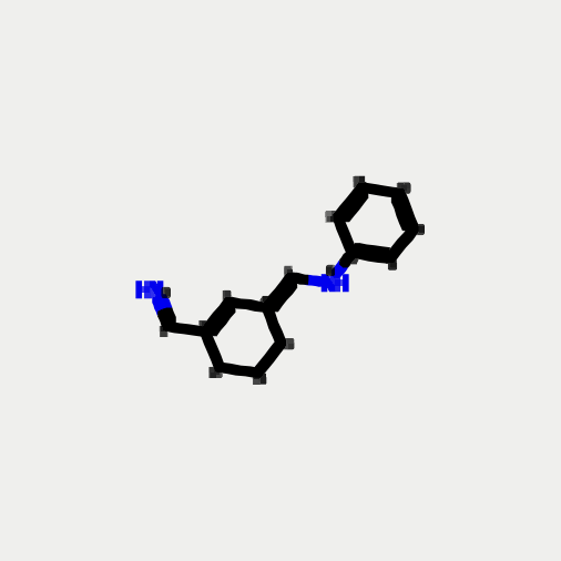 N=CC1=C/C(=C/Nc2ccccc2)CCC1